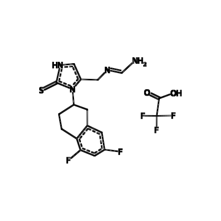 NC=NCc1c[nH]c(=S)n1C1CCc2c(F)cc(F)cc2C1.O=C(O)C(F)(F)F